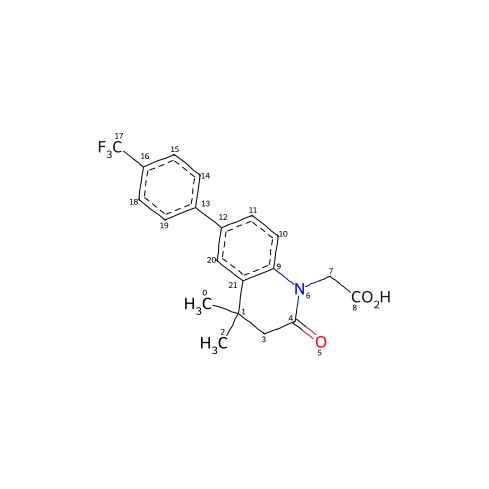 CC1(C)CC(=O)N(CC(=O)O)c2ccc(-c3ccc(C(F)(F)F)cc3)cc21